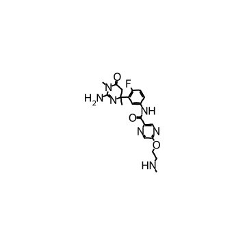 CNCCOc1cnc(C(=O)Nc2ccc(F)c(C3(C)CC(=O)N(C)C(N)=N3)c2)cn1